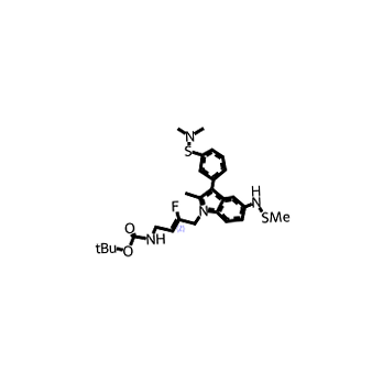 CSNc1ccc2c(c1)c(-c1cccc(SN(C)C)c1)c(C)n2C/C(F)=C/CNC(=O)OC(C)(C)C